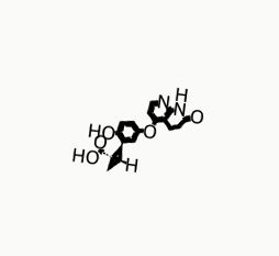 O=C1CCc2c(Oc3ccc(O)c([C@@H]4[C@@H]5C[C@@]45C(=O)O)c3)ccnc2N1